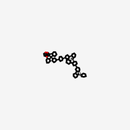 c1ccc(-c2ccccc2C2(c3cccc(-c4ccc(-c5ccc(-c6ccccc6-n6c7ccccc7c7cc(-c8ccc9c(c8)c8ccccc8n9-c8ccccc8)ccc76)cc5)cc4)c3)c3ccccc3-c3ccccc32)cc1